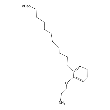 CCCCCCCCCCCCCCCCCCCCc1ccccc1OCCN